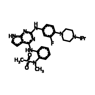 CC(C)N1CCN(c2ccc(Nc3nc(Nc4ccccc4N(C)S(C)(=O)=O)c4cc[nH]c4n3)cc2F)CC1